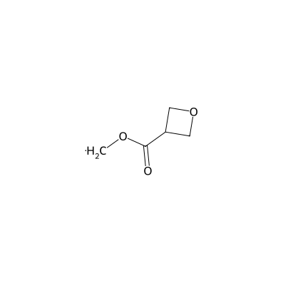 [CH2]OC(=O)C1COC1